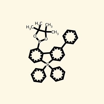 CC1(C)OB(c2cccc3c2-c2cc(-c4ccccc4)ccc2[Si]3(c2ccccc2)c2ccccc2)OC1(C)C